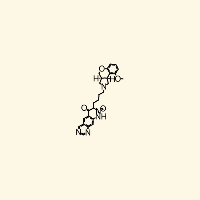 COc1cccc2c1[C@@H]1CN(CCCCC3C(=O)c4cc5cncnc5cc4N[N+]3=O)C[C@@H]1CO2